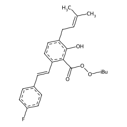 CCC(C)OOC(=O)c1c(C=Cc2ccc(F)cc2)ccc(CC=C(C)C)c1O